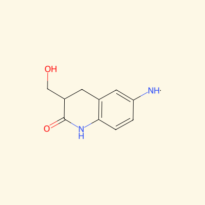 [NH]c1ccc2c(c1)CC(CO)C(=O)N2